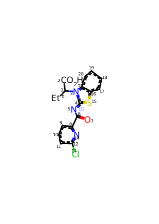 CCC(C(=O)O)n1/c(=N/C(=O)c2cccc(Cl)n2)sc2ccccc21